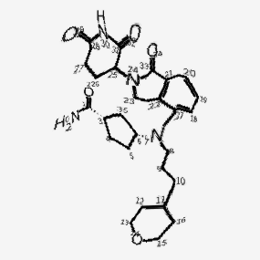 NC(=O)[C@H]1CC[C@@H](N(CCCC2CCOCC2)c2cccc3c2CN(C2CCC(=O)NC2=O)C3=O)C1